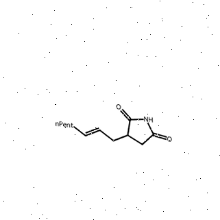 CCCCCC=CCC1CC(=O)NC1=O